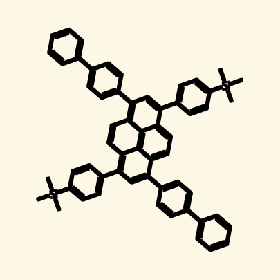 C[Si](C)(C)c1ccc(-c2cc(-c3ccc(-c4ccccc4)cc3)c3ccc4c(-c5ccc([Si](C)(C)C)cc5)cc(-c5ccc(-c6ccccc6)cc5)c5ccc2c3c54)cc1